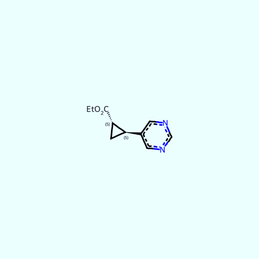 CCOC(=O)[C@H]1C[C@@H]1c1cncnc1